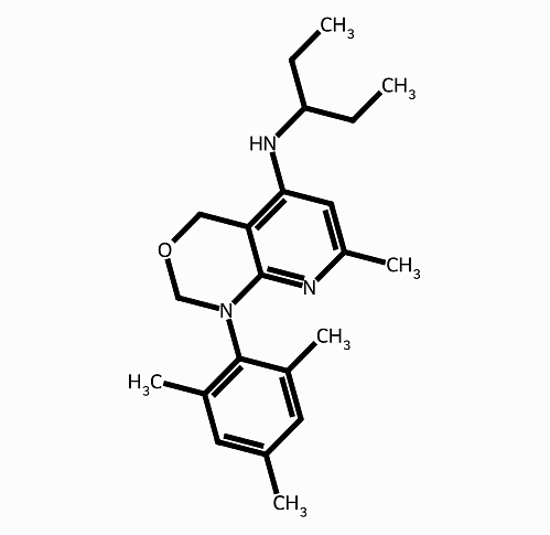 CCC(CC)Nc1cc(C)nc2c1COCN2c1c(C)cc(C)cc1C